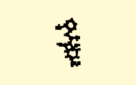 CC(=O)N(Oc1ccccc1O)C1C(=O)N2C=C(C(=O)O)CS[C@H]12